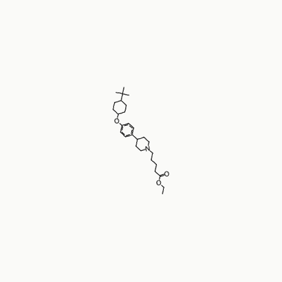 CCOC(=O)CCCCN1CCC(c2ccc(OC3CCC(C(C)(C)C)CC3)cc2)CC1